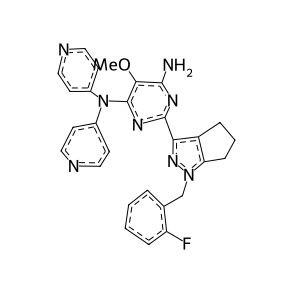 COc1c(N)nc(-c2nn(Cc3ccccc3F)c3c2CCC3)nc1N(c1ccncc1)c1ccncc1